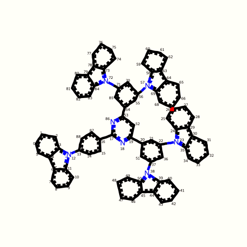 c1ccc2c(c1)c1ccccc1n2-c1ccc(-c2nc(-c3cc(-n4c5ccccc5c5ccccc54)cc(-n4c5ccccc5c5ccccc54)c3)cc(-c3cc(-n4c5ccccc5c5ccccc54)cc(-n4c5ccccc5c5ccccc54)c3)n2)cc1